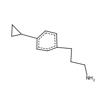 NCCCc1ccc(C2CC2)cc1